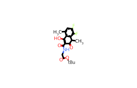 Cc1cc(F)c(F)c2c1C(O)=C(C(=O)NCC(=O)OC(C)(C)C)C(=O)C2C